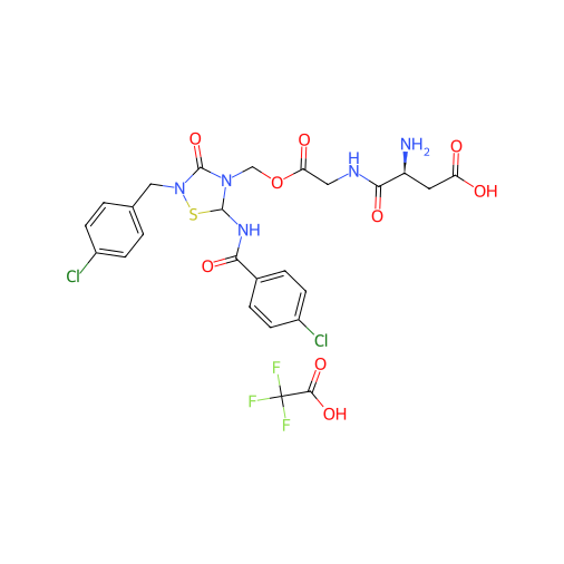 N[C@@H](CC(=O)O)C(=O)NCC(=O)OCN1C(=O)N(Cc2ccc(Cl)cc2)SC1NC(=O)c1ccc(Cl)cc1.O=C(O)C(F)(F)F